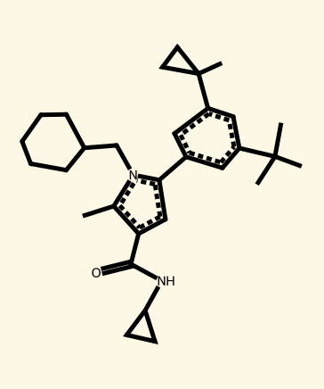 Cc1c(C(=O)NC2CC2)cc(-c2cc(C(C)(C)C)cc(C3(C)CC3)c2)n1CC1CCCCC1